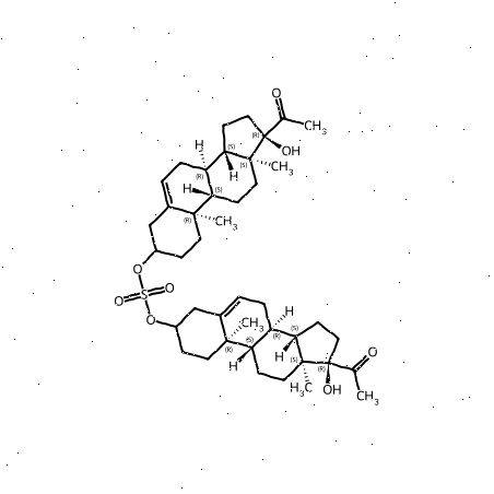 CC(=O)[C@@]1(O)CC[C@H]2[C@@H]3CC=C4CC(OS(=O)(=O)OC5CC[C@@]6(C)C(=CC[C@@H]7[C@@H]6CC[C@@]6(C)[C@H]7CC[C@]6(O)C(C)=O)C5)CC[C@]4(C)[C@H]3CC[C@@]21C